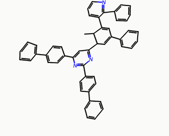 CC1C(c2cccnc2-c2ccccc2)=CC(c2ccccc2)=CC1c1cc(-c2ccc(-c3ccccc3)cc2)nc(-c2ccc(-c3ccccc3)cc2)n1